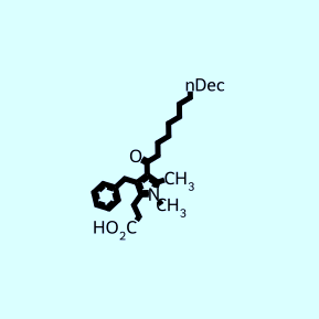 CCCCCCCCCCCCCCCCCC(=O)c1c(Cc2ccccc2)c(CCC(=O)O)n(C)c1C